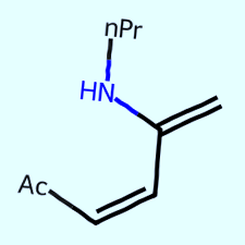 C=C(/C=C\C(C)=O)NCCC